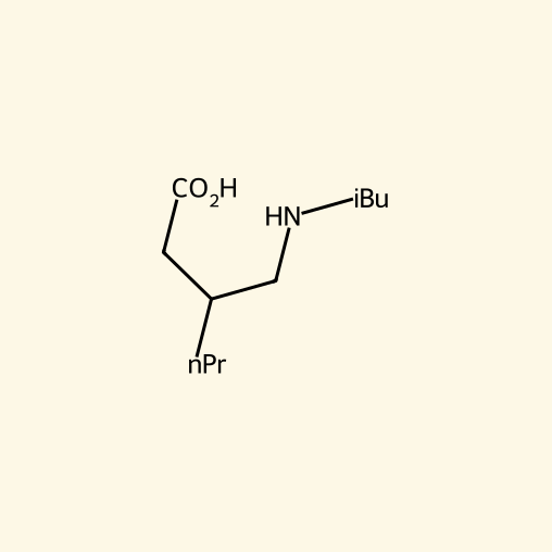 CCCC(CNC(C)CC)CC(=O)O